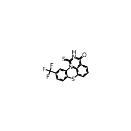 O=c1[nH]c(=S)n2c3c(cccc13)Sc1ccc(C(F)(F)F)cc1-2